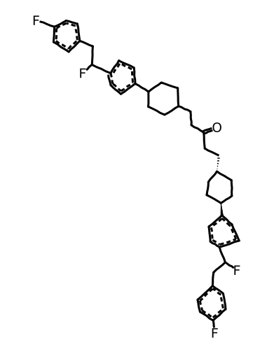 O=C(CCC1CCC(c2ccc(C(F)Cc3ccc(F)cc3)cc2)CC1)CC[C@H]1CC[C@H](c2ccc(C(F)Cc3ccc(F)cc3)cc2)CC1